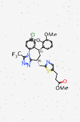 COC(=O)CCc1cnc(C[C@H]2C[C@H](c3cccc(OC)c3OC)c3cc(Cl)ccc3-n3c2nnc3C(F)(F)F)s1